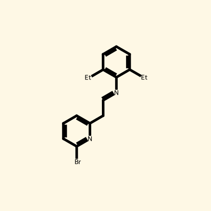 CCc1cccc(CC)c1N=CCc1cccc(Br)n1